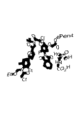 CC1(C)OC(c2ccco2)CN1C(=O)C(Cl)Cl.CCCCCOC(=O)COc1cc(N2C(=O)C3=C(CCCC3)C2=O)c(F)cc1Cl.CCOCN(C(=O)CCl)c1c(C)cccc1CC.O=C(O)CNCP(=O)(O)O